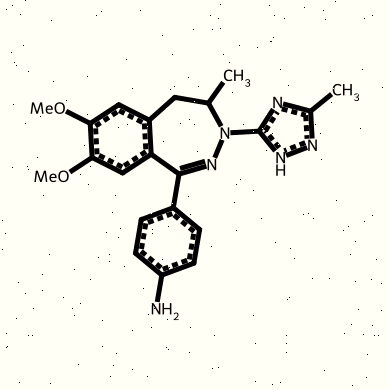 COc1cc2c(cc1OC)C(c1ccc(N)cc1)=NN(c1nc(C)n[nH]1)C(C)C2